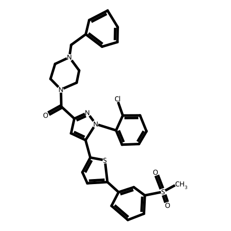 CS(=O)(=O)c1cccc(-c2ccc(-c3cc(C(=O)N4CCN(Cc5ccccc5)CC4)nn3-c3ccccc3Cl)s2)c1